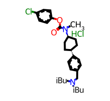 CCC(C)N(Cc1ccc([C@H]2CC[C@H](N(C)C(=O)Oc3ccc(Cl)cc3)CC2)cc1)C(C)CC.Cl